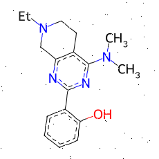 CCN1CCc2c(nc(-c3ccccc3O)nc2N(C)C)C1